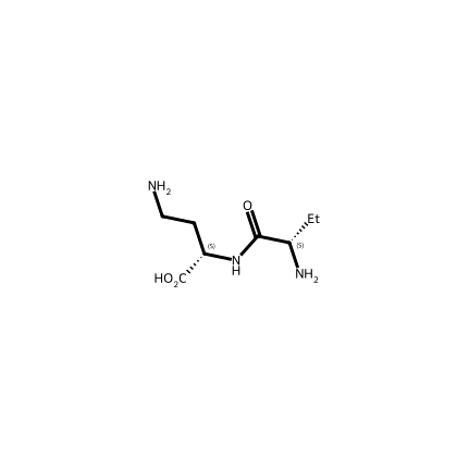 CC[C@H](N)C(=O)N[C@@H](CCN)C(=O)O